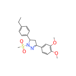 CCc1ccc(C2CC(c3ccc(OC)c(OC)c3)=NN2S(C)(=O)=O)cc1